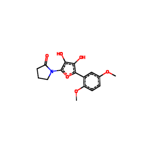 COc1ccc(OC)c(-c2oc(N3CCCC3=O)c(O)c2O)c1